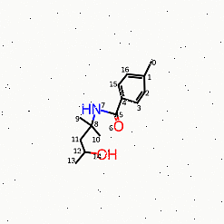 Cc1ccc(C(=O)NC(C)(C)CC(C)O)cc1